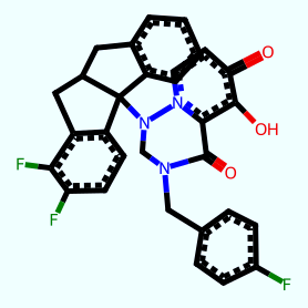 O=C1c2c(O)c(=O)ccn2N(C23c4ccccc4CC2Cc2c3ccc(F)c2F)CN1Cc1ccc(F)cc1